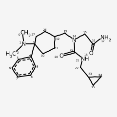 CN(C)C1(c2ccccc2)CCC(CN(CC(N)=O)C(=O)NCC2CC2)CC1